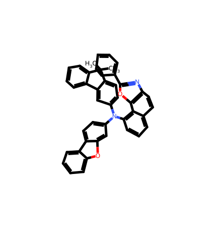 CC1(C)c2ccccc2-c2cc(N(c3ccc4c(c3)oc3ccccc34)c3cccc4ccc5nc(-c6ccccc6)oc5c34)ccc21